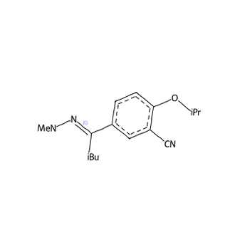 CCC(C)/C(=N\NC)c1ccc(OC(C)C)c(C#N)c1